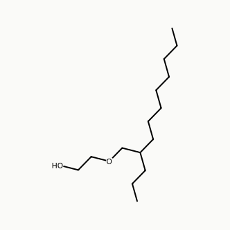 CCCCCCCCC(CCC)COCCO